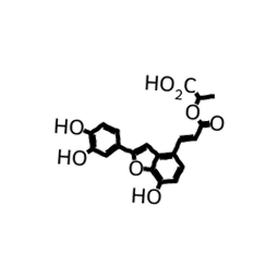 CC(OC(=O)C=Cc1ccc(O)c2oc(-c3ccc(O)c(O)c3)cc12)C(=O)O